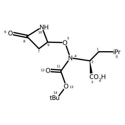 CC(C)C[C@@H](C(=O)O)N(OC1CC(=O)N1)C(=O)OC(C)(C)C